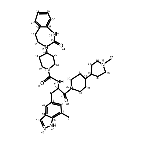 Cc1cc(CC(NC(=O)N2CCC(N3CCc4ccccc4NC3=O)CC2)C(=O)N2CCC(C3CCN(C)CC3)CC2)cc2cn[nH]c12